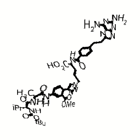 COC(=O)c1cc(NC(=O)[C@H](C)NC(=O)[C@@H](NC(=O)OC(C)(C)C)C(C)C)ccc1-c1cn(CCC[C@H](NC(=O)c2ccc(CCc3cnc4nc(N)nc(N)c4n3)cc2)C(=O)O)nn1